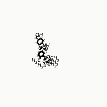 Cc1ccc(S(=O)(=O)N[C@H]2CC[C@H](CO)CC2)cc1B1OC(C)(C)C(C)(C)O1